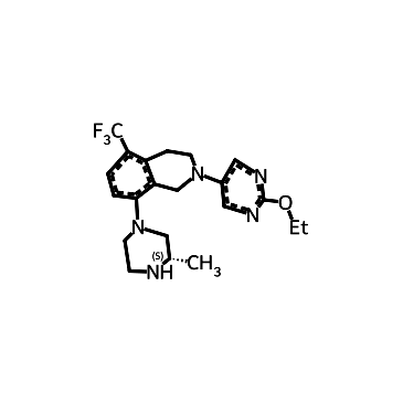 CCOc1ncc(N2CCc3c(C(F)(F)F)ccc(N4CCN[C@@H](C)C4)c3C2)cn1